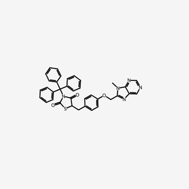 Cn1c(COc2ccc(CC3SC(=O)N(C(c4ccccc4)(c4ccccc4)c4ccccc4)C3=O)cc2)nc2cncnc21